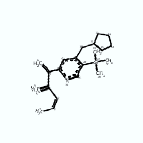 C=C(/C=C\C)C(=C)c1cc(CC2CCCC2)c([Si](C)(C)C)cn1